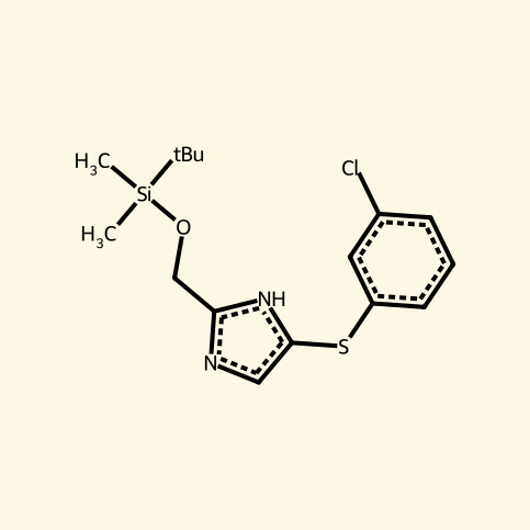 CC(C)(C)[Si](C)(C)OCc1ncc(Sc2cccc(Cl)c2)[nH]1